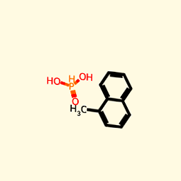 Cc1cccc2ccccc12.O=[PH](O)O